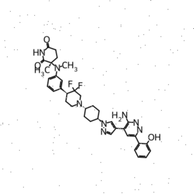 CN(c1cccc([C@@H]2CCN([C@H]3CC[C@H](n4cc(-c5cc(-c6ccccc6O)nnc5N)cn4)CC3)CC2(F)F)c1)[C@@]1(C)CCC(=O)NC1=O